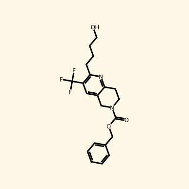 O=C(OCc1ccccc1)N1CCc2nc(CCCCO)c(C(F)(F)F)cc2C1